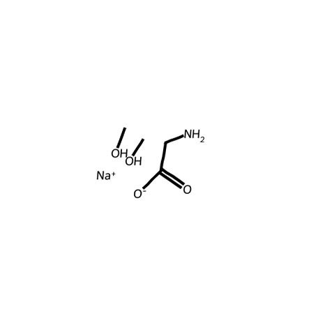 CO.CO.NCC(=O)[O-].[Na+]